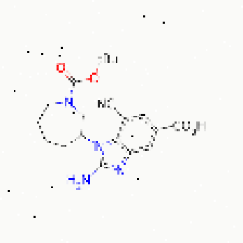 CC(C)(C)OC(=O)N1CCCCC(n2c(N)nc3cc(C(=O)O)cc(C#N)c32)C1